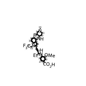 CCC(C#Cc1cc2c(NC3CCN(C)CC3F)cccc2n1CC(F)(F)F)Nc1ccc(C(=O)O)cc1OC